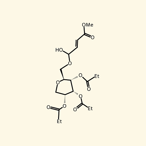 CCC(=O)O[C@@H]1[C@H](OC(=O)CC)[C@H](OC(=O)CC)CO[C@H]1COC(O)/C=C/C(=O)OC